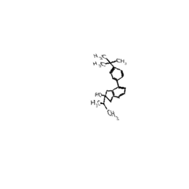 CC(C)C1(O)Cc2cccc(-c3ccc(C(C)(C)C)cc3)c2C1